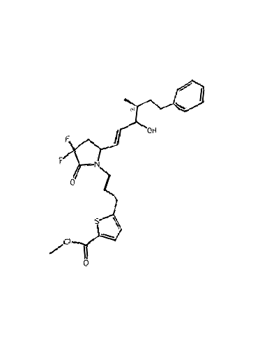 COC(=O)c1ccc(CCCN2C(=O)C(F)(F)CC2C=CC(O)[C@@H](C)CCc2ccccc2)s1